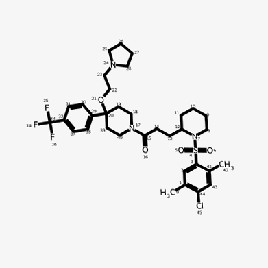 Cc1cc(S(=O)(=O)N2CCCCC2CCC(=O)N2CCC(OCCN3CCCC3)(c3ccc(C(F)(F)F)cc3)CC2)c(C)cc1Cl